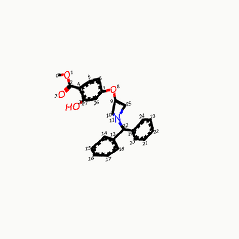 COC(=O)c1ccc(OC2CN(C(c3ccccc3)c3ccccc3)C2)cc1O